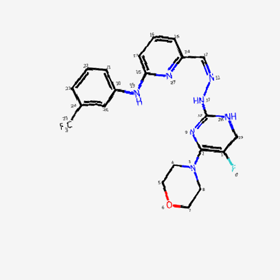 FC1=C(N2CCOCC2)N=C(N/N=C\c2cccc(Nc3cccc(C(F)(F)F)c3)n2)NC1